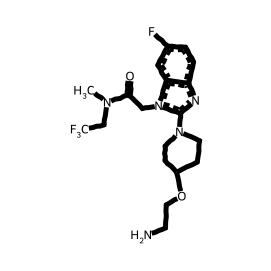 CN(CC(F)(F)F)C(=O)Cn1c(N2CCC(OCCN)CC2)nc2ccc(F)cc21